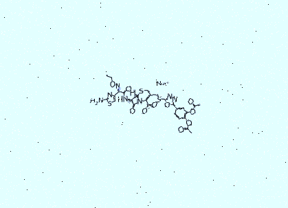 CCO/N=C(/C(=O)N[C@@H]1C(=O)N2C(C(=O)[O-])=C(CSc3nnc(-c4ccc(OC(C)=O)c(OC(C)=O)c4)o3)CS[C@H]12)c1csc(N)n1.[Na+]